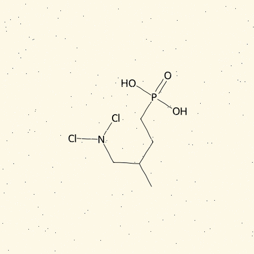 CC(CCP(=O)(O)O)CN(Cl)Cl